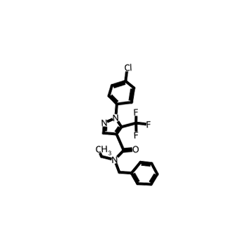 CCN(Cc1ccccc1)C(=O)c1cnn(-c2ccc(Cl)cc2)c1C(F)(F)F